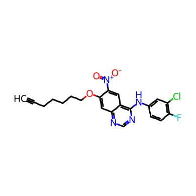 C#CCCCCCOc1cc2ncnc(Nc3ccc(F)c(Cl)c3)c2cc1[N+](=O)[O-]